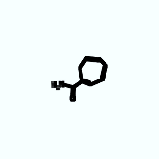 NC(=O)C1=CC=CC=CC1